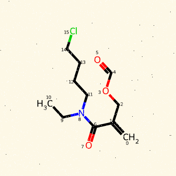 C=C(COC=O)C(=O)N(CC)CCCCCl